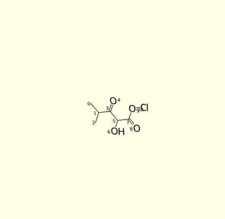 CC(C)C(=O)C(O)C(=O)OCl